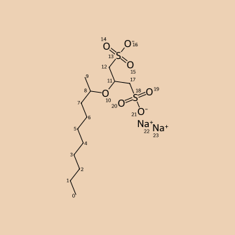 CCCCCCCCC(C)OC(CS(=O)(=O)[O-])CS(=O)(=O)[O-].[Na+].[Na+]